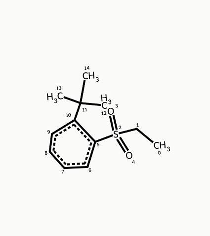 CCS(=O)(=O)c1ccccc1C(C)(C)C